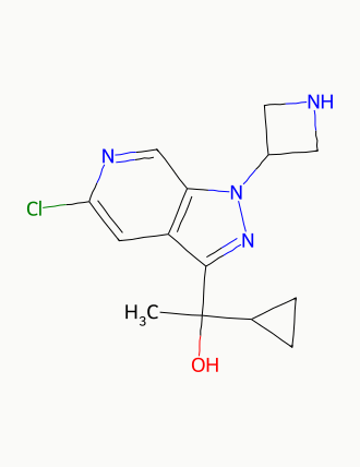 CC(O)(c1nn(C2CNC2)c2cnc(Cl)cc12)C1CC1